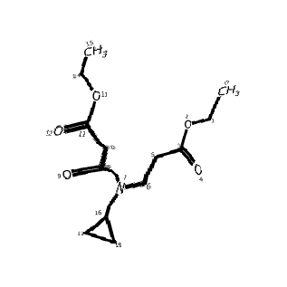 CCOC(=O)CCN(C(=O)CC(=O)OCC)C1CC1